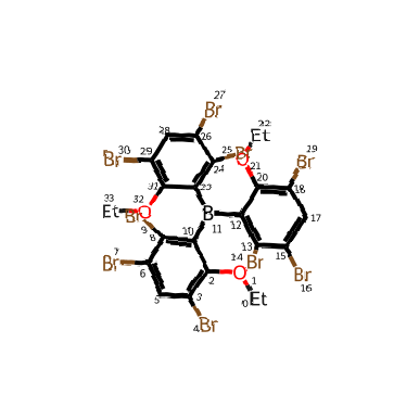 CCOc1c(Br)cc(Br)c(Br)c1B(c1c(Br)c(Br)cc(Br)c1OCC)c1c(Br)c(Br)cc(Br)c1OCC